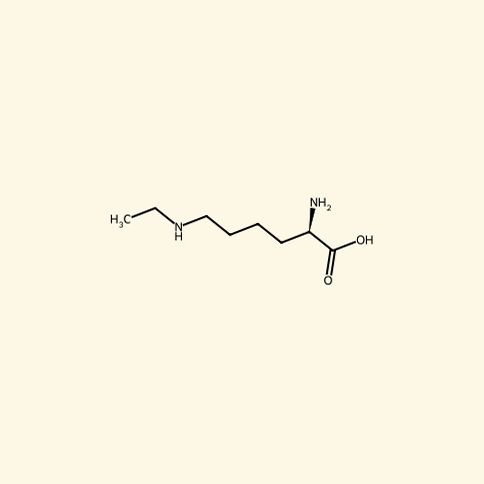 CCNCCCC[C@@H](N)C(=O)O